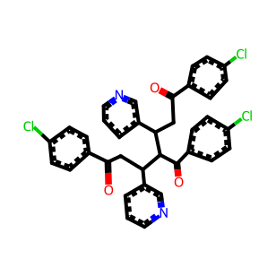 O=C(CC(c1cccnc1)C(C(=O)c1ccc(Cl)cc1)C(CC(=O)c1ccc(Cl)cc1)c1cccnc1)c1ccc(Cl)cc1